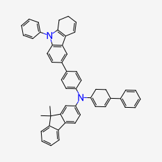 CC1(C)c2ccccc2-c2ccc(N(C3=CC=C(c4ccccc4)CC3)c3ccc(-c4ccc5c(c4)c4c(n5-c5ccccc5)CCC=C4)cc3)cc21